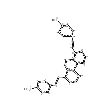 O=C(O)c1ccc(/C=C/c2ccnc3c2ccc2c(/C=C/c4ccc(C(=O)O)cc4)ccnc23)cc1